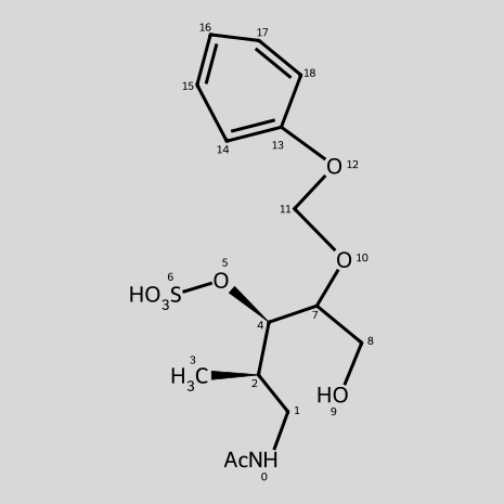 CC(=O)NC[C@@H](C)[C@@H](OS(=O)(=O)O)C(CO)OCOc1ccccc1